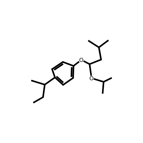 CCC(C)c1ccc(OC(CC(C)C)OC(C)C)cc1